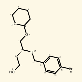 OCC[C@H](COC1CCCCO1)OCc1ccc(Br)cc1